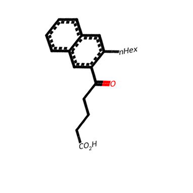 CCCCCCc1cc2ccccc2cc1C(=O)CCCC(=O)O